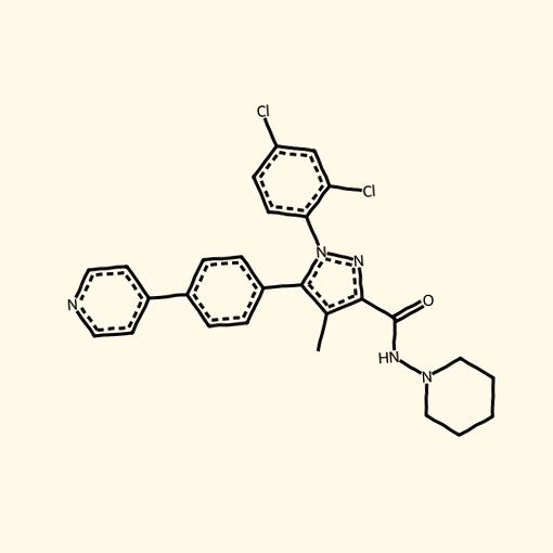 Cc1c(C(=O)NN2CCCCC2)nn(-c2ccc(Cl)cc2Cl)c1-c1ccc(-c2ccncc2)cc1